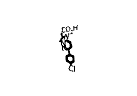 O=C(O)Cc1cn2nc(-c3ccc(Cl)cc3)ccc2n1